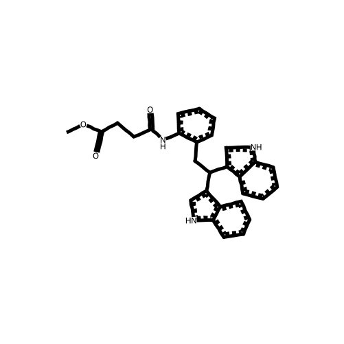 COC(=O)CCC(=O)Nc1ccccc1CC(c1c[nH]c2ccccc12)c1c[nH]c2ccccc12